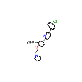 O=Cc1cc(-c2ccc(-c3ccc(Cl)cc3)cn2)ccc1OCCN1CCCC1